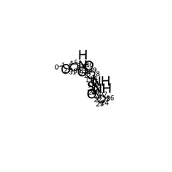 CCOc1ccc(NS(=O)(=O)c2ccc(NC(=S)NC(=O)c3cccc(C)c3)cc2)cc1